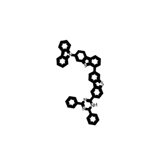 C1=C(n2c3ccccc3c3ccccc32)CCc2c1sc1c(-c3ccc4c(c3)sc3ccc(C5=NC(c6ccccc6)=NC(c6ccccc6)N5)cc34)cccc21